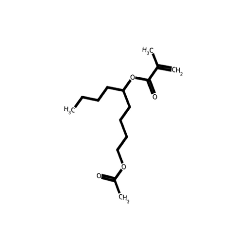 C=C(C)C(=O)OC(CCCC)CCCCOC(C)=O